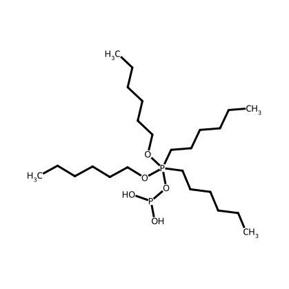 CCCCCCOP(CCCCCC)(CCCCCC)(OCCCCCC)OP(O)O